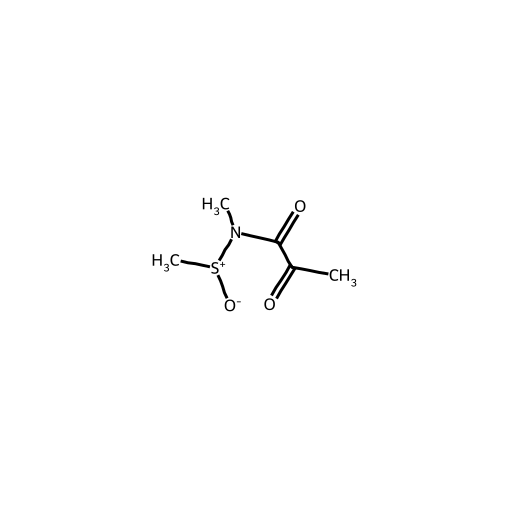 CC(=O)C(=O)N(C)[S+](C)[O-]